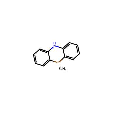 [SbH3].c1ccc2c(c1)Nc1ccccc1S2